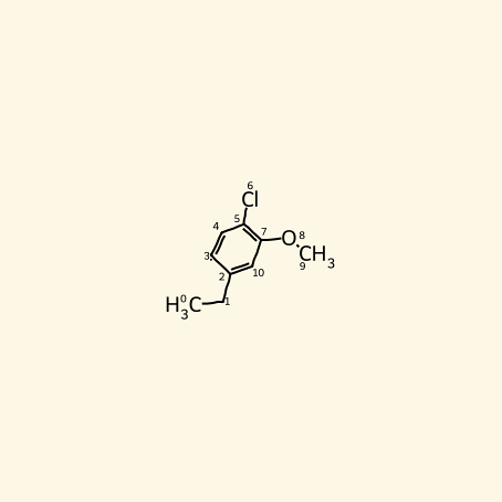 CCc1[c]cc(Cl)c(OC)c1